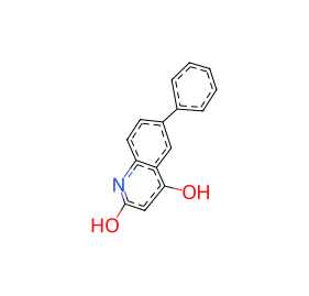 Oc1cc(O)c2cc(-c3ccccc3)ccc2n1